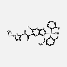 CCn1cnc(NC(=O)c2cc3c(nc2F)nc(C(O)(c2ccccc2F)c2ccccc2F)n3CC)n1